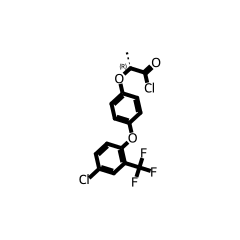 C[C@@H](Oc1ccc(Oc2ccc(Cl)cc2C(F)(F)F)cc1)C(=O)Cl